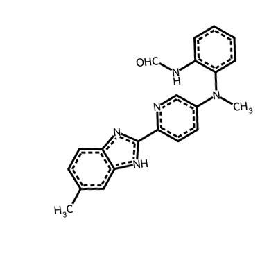 Cc1ccc2nc(-c3ccc(N(C)c4ccccc4NC=O)cn3)[nH]c2c1